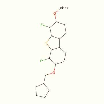 CCCCCCOC1CCC2C3CCC(OCC4CCCC4)C(F)C3SC2C1F